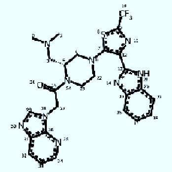 CN(C)C[C@@H]1CN(c2sc(C(F)(F)F)nc2-c2nc3ccccc3[nH]2)CCN1C(=O)Cn1cnc2cccnc21